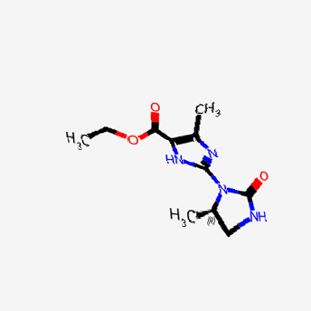 CCOC(=O)c1[nH]c(N2C(=O)NC[C@H]2C)nc1C